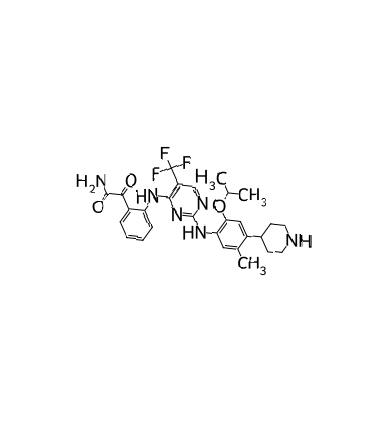 Cc1cc(Nc2ncc(C(F)(F)F)c(Nc3ccccc3C(=O)C(N)=O)n2)c(OC(C)C)cc1C1CCNCC1